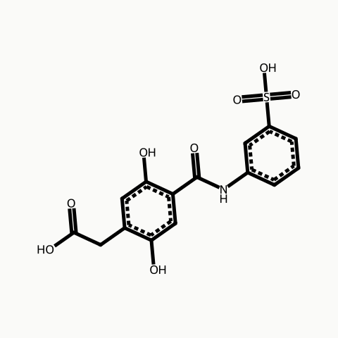 O=C(O)Cc1cc(O)c(C(=O)Nc2cccc(S(=O)(=O)O)c2)cc1O